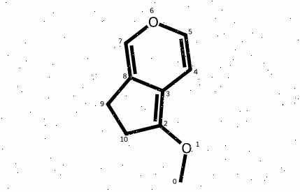 COC1=C2C=COC=C2CC1